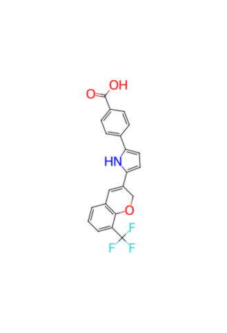 O=C(O)c1ccc(-c2ccc(C3=Cc4cccc(C(F)(F)F)c4OC3)[nH]2)cc1